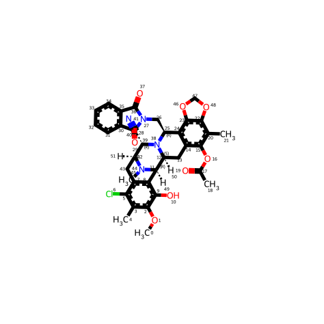 COc1c(C)c(Cl)c2c(c1O)[C@@H]1[C@@H]3Cc4c(OC(C)=O)c(C)c5c(c4[C@H](CN4C(=O)c6ccccc6C4=O)N3[C@@H](C#N)[C@H](C2)N1C)OCO5